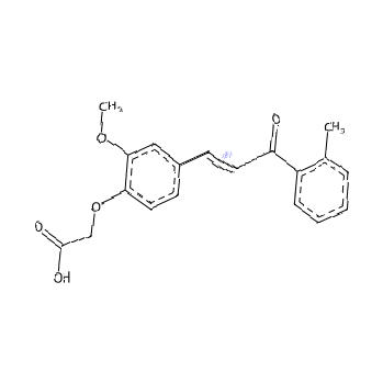 COc1cc(/C=C/C(=O)c2ccccc2C)ccc1OCC(=O)O